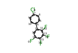 Fc1[c]c(-c2ccc(Cl)cc2)c(F)c(F)c1F